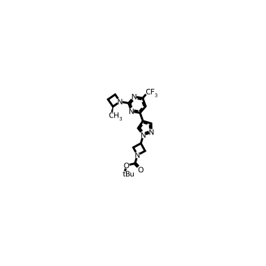 C[C@H]1CCN1c1nc(-c2cnn(C3CN(C(=O)OC(C)(C)C)C3)c2)cc(C(F)(F)F)n1